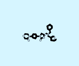 O=C1COCCN1c1ccc(N2C[C@H](CN(Cc3ccccc3)Cc3ccccc3)OC2=O)cc1